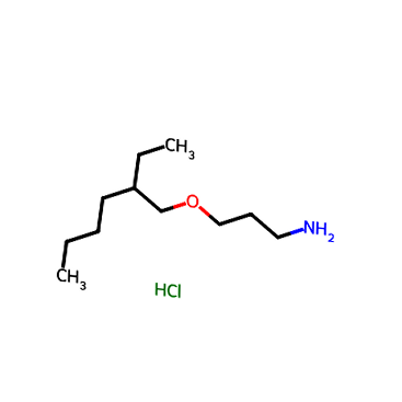 CCCCC(CC)COCCCN.Cl